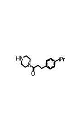 CC(C)c1ccc(CCC(=O)N2CCNCC2)cc1